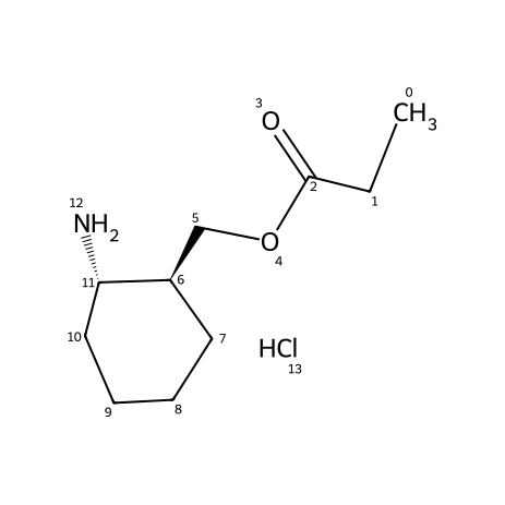 CCC(=O)OC[C@H]1CCCC[C@@H]1N.Cl